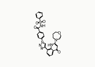 O=C(NS(=O)(=O)c1ccccc1)c1ccc(-n2cc(-c3cccc4c(=O)cc(N5CCCOCC5)[nH]c34)nn2)cc1